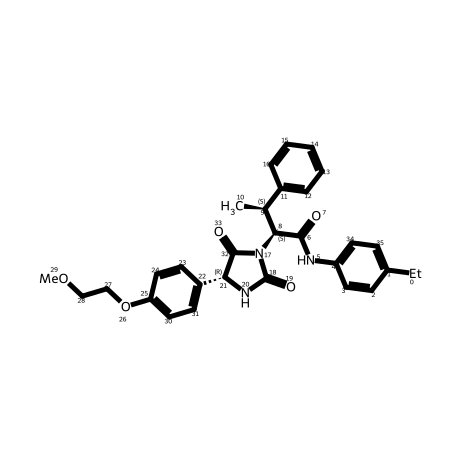 CCc1ccc(NC(=O)[C@H]([C@@H](C)c2ccccc2)N2C(=O)N[C@H](c3ccc(OCCOC)cc3)C2=O)cc1